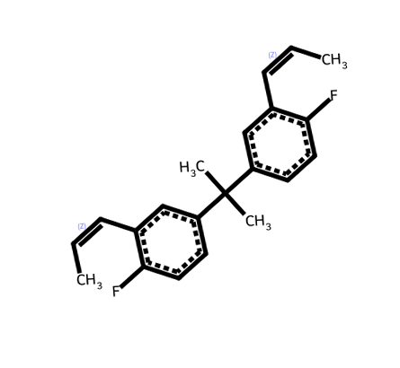 C/C=C\c1cc(C(C)(C)c2ccc(F)c(/C=C\C)c2)ccc1F